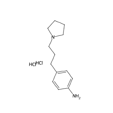 Cl.Cl.Nc1ccc(CCCN2CCCC2)cc1